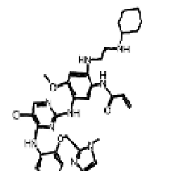 C=CC(=O)Nc1cc(Nc2ncc(Cl)c(Nc3ccccc3OCc3nccn3C)n2)c(OC)cc1NCCNC1CCCCC1